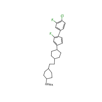 CCCCCCC1CCC(CCC2CCC(c3ccc(-c4ccc(Cl)c(F)c4)c(F)c3)CC2)CC1